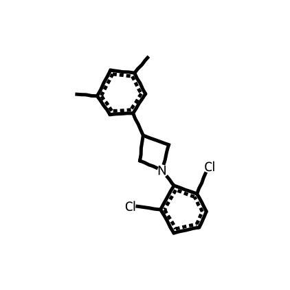 Cc1cc(C)cc(C2CN(c3c(Cl)cccc3Cl)C2)c1